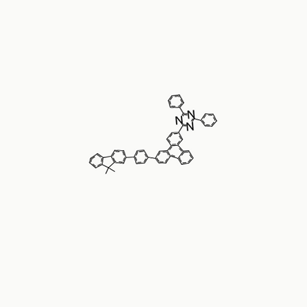 CC1(C)c2ccccc2-c2ccc(-c3ccc(-c4ccc5c6ccccc6c6cc(-c7nc(-c8ccccc8)nc(-c8ccccc8)n7)ccc6c5c4)cc3)cc21